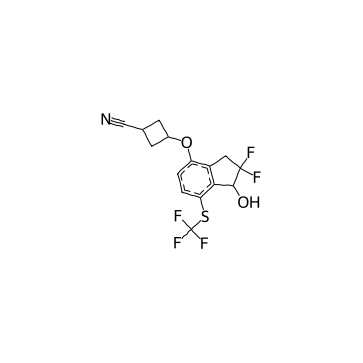 N#CC1CC(Oc2ccc(SC(F)(F)F)c3c2CC(F)(F)C3O)C1